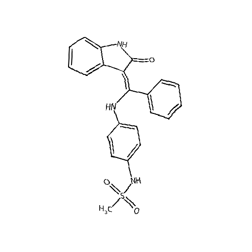 CS(=O)(=O)Nc1ccc(NC(=C2C(=O)Nc3ccccc32)c2ccccc2)cc1